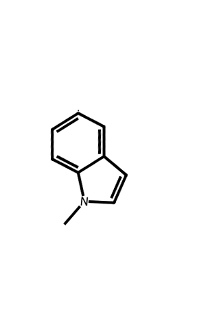 Cn1ccc2c[c]ccc21